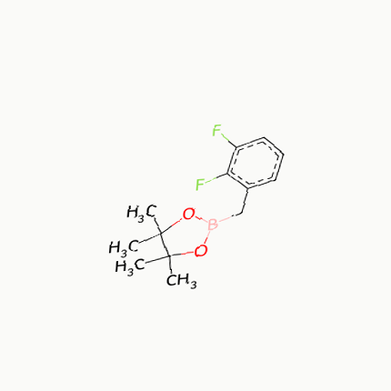 CC1(C)OB(Cc2cccc(F)c2F)OC1(C)C